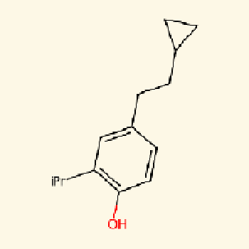 CC(C)c1cc(CCC2CC2)ccc1O